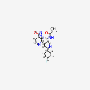 C=CC(=O)NCc1cnc(-c2ccc(F)cc2)cc1-c1cc(C(N)=O)ccn1